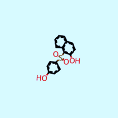 O=S(=O)(c1ccc(O)cc1)c1c(O)ccc2ccccc12